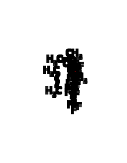 CCCCCC.CCO[Si](OCC)(OCC)C(F)(F)C(F)(F)C(F)(F)C(F)(F)C(F)(F)C(F)(F)C(F)(F)CCC(F)(F)F